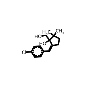 CC1(C)CC/C(=C/c2ccc(Cl)cc2)C1(O)CO